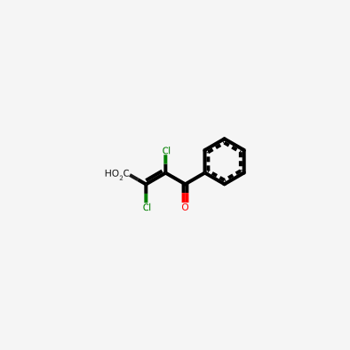 O=C(O)/C(Cl)=C(\Cl)C(=O)c1ccccc1